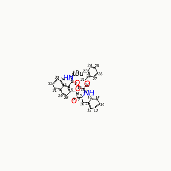 CC(C)(C)NC(=O)c1c(CC(=O)[C@H](Cc2ccccc2)NC(=O)OCc2ccccc2)ccc2ccccc12